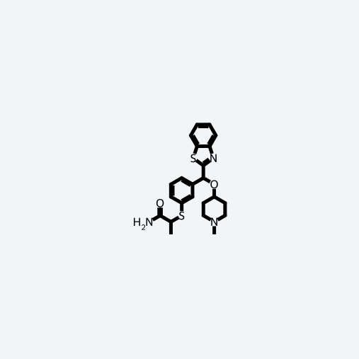 CC(Sc1cccc(C(OC2CCN(C)CC2)c2nc3ccccc3s2)c1)C(N)=O